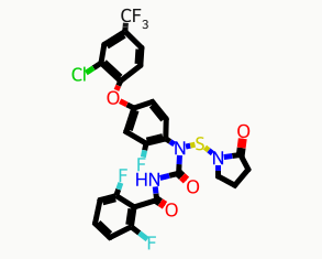 O=C(NC(=O)N(SN1CCCC1=O)c1ccc(Oc2ccc(C(F)(F)F)cc2Cl)cc1F)c1c(F)cccc1F